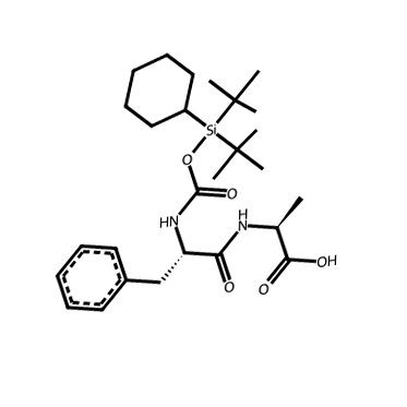 C[C@H](NC(=O)[C@H](Cc1ccccc1)NC(=O)O[Si](C1CCCCC1)(C(C)(C)C)C(C)(C)C)C(=O)O